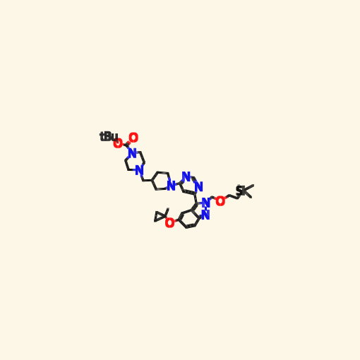 CC(C)(C)OC(=O)N1CCN(CC2CCN(c3cc(-c4c5cc(OC6(C)CC6)ccc5nn4COCC[Si](C)(C)C)ncn3)CC2)CC1